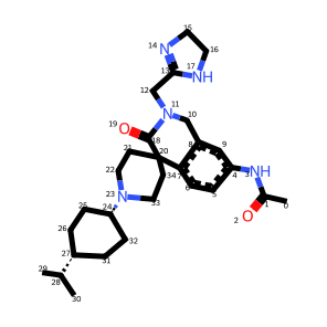 CC(=O)Nc1ccc2c(c1)CN(CC1=NCCN1)C(=O)C21CCN([C@H]2CC[C@@H](C(C)C)CC2)CC1